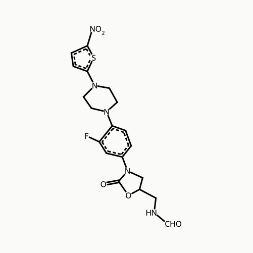 O=CNCC1CN(c2ccc(N3CCN(c4ccc([N+](=O)[O-])s4)CC3)c(F)c2)C(=O)O1